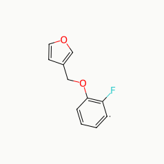 Fc1[c]cccc1OCc1ccoc1